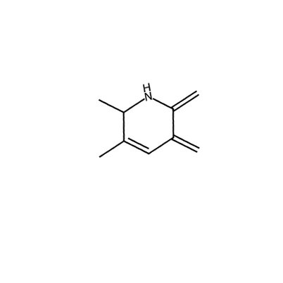 C=C1C=C(C)C(C)NC1=C